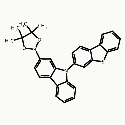 CC1(C)OB(c2ccc3c4ccccc4n(-c4ccc5c(c4)sc4ccccc45)c3c2)OC1(C)C